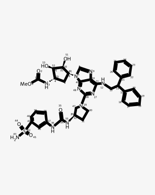 COC(=O)N[C@H]1C[C@@H](n2cnc3c(NCC(c4ccccc4)c4ccccc4)nc(N4CC[C@@H](NC(=O)Nc5cccc(S(N)(=O)=O)c5)C4)nc32)[C@H](O)[C@@H]1O